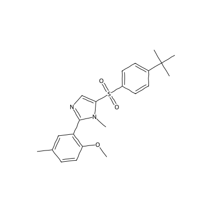 COc1ccc(C)cc1-c1ncc(S(=O)(=O)c2ccc(C(C)(C)C)cc2)n1C